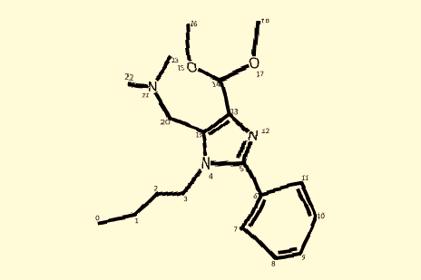 CCCCn1c(-c2ccccc2)nc(C(OC)OC)c1CN(C)C